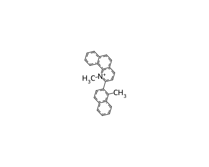 Cc1c(-c2ccc3ccc4ccccc4c3[n+]2C)ccc2ccccc12